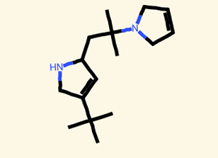 CC(C)(C)C1=CC(CC(C)(C)N2CC=CC2)NC1